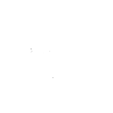 c1ccc(-c2cccc3c2c2c(N(c4ccccc4)c4cccc(-c5cccc6ccccc56)c4)cccc2n3-c2ccccc2)cc1